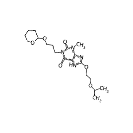 CC(C)OCCOc1nc2c([nH]1)c(=O)n(CCCOC1CCCCO1)c(=O)n2C